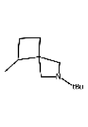 CC1CCC12CN(C(C)(C)C)C2